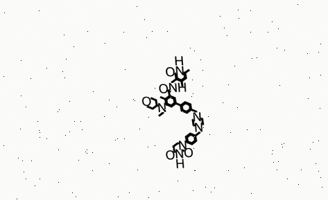 CCN(c1cc(-c2ccc(CN3CCN(Cc4ccc(N5CCC(=O)NC5=O)cc4)CC3)cc2)cc(C(=O)NCc2c(C)cc(C)[nH]c2=O)c1C)C1CCOCC1